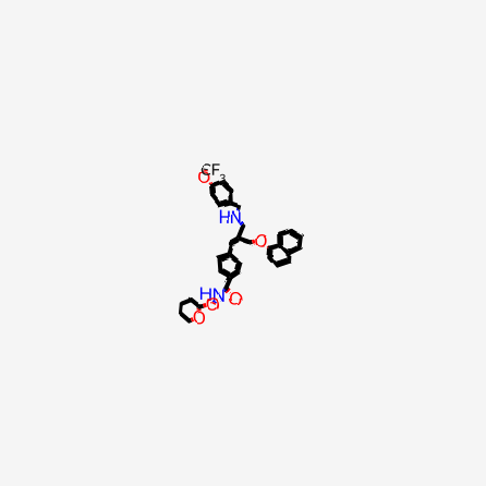 O=C(NOC1CCCCO1)c1ccc(/C=C(/CNCc2ccc(OC(F)(F)F)cc2)COc2cccc3ccccc23)cc1